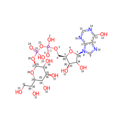 O=P(O)(OC[C@H]1O[C@@H](n2cnc3c(O)ncnc32)C(O)[C@H]1O)OP(=O)(O)O[C@@H]1OC([C@H](O)CO)[C@@H](O)[C@H](O)C1O